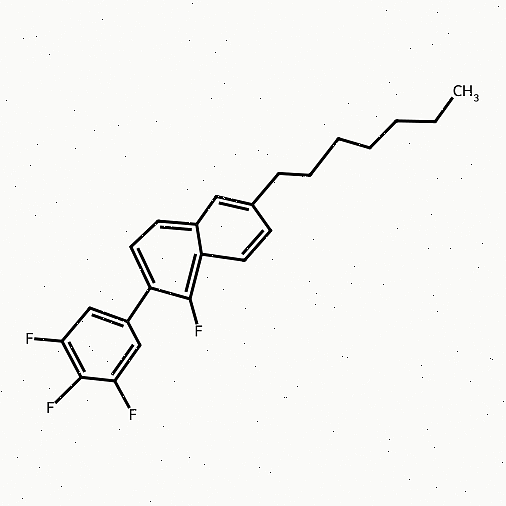 CCCCCCCc1ccc2c(F)c(-c3cc(F)c(F)c(F)c3)ccc2c1